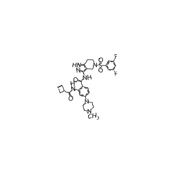 CN1CCN(c2ccc(C(=O)Nc3n[nH]c4c3CN(S(=O)(=O)c3cc(F)cc(F)c3)CC4)c(NC(=O)C3CCC3)c2)CC1